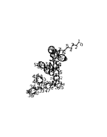 CCCCCCCCN1C(=O)S/C(=c2/s/c(=C/c3ccc4c(c3)C3CCCC3N4c3ccc(C=C(c4ccccc4)c4ccccc4)cc3)c(=O)n2CC(=O)OCC)C1=O